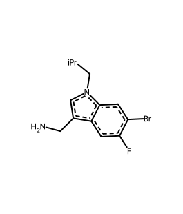 CC(C)Cn1cc(CN)c2cc(F)c(Br)cc21